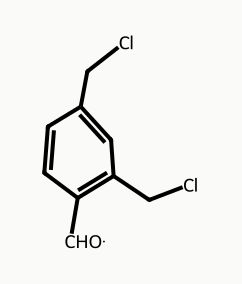 O=[C]c1ccc(CCl)cc1CCl